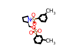 Cc1cccc(S(=O)(=O)OC[C@H]2CCCN2S(=O)(=O)c2cccc(C)c2)c1